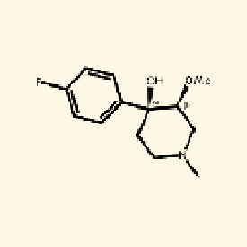 CO[C@H]1CN(C)CC[C@]1(O)c1ccc(F)cc1